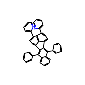 c1ccc(-c2c3c(c(-c4ccccc4)c4ccccc24)-c2ccc(-c4ccccn4)c4c(-c5ccccn5)ccc-3c24)cc1